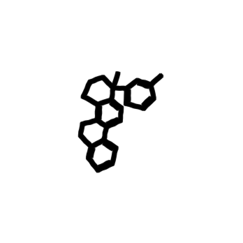 Cc1cccc(C2(C)CCCc3c2ccc2c3CCc3ccccc3-2)c1